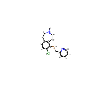 CN1CCc2ccc(Cl)c(SCc3ccccn3)c2CC1